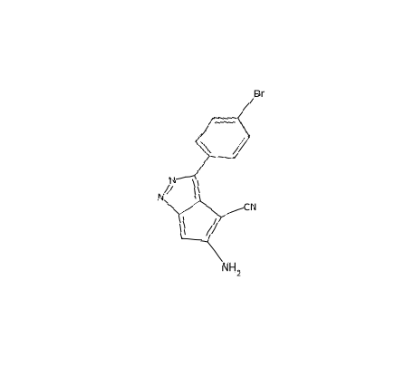 N#CC1=C(N)C=C2N=NC(c3ccc(Br)cc3)=C21